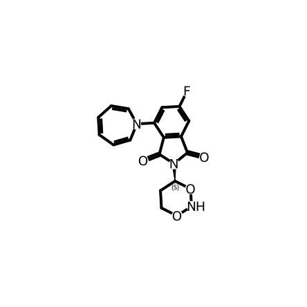 O=C1c2cc(F)cc(N3C=CC=CC=C3)c2C(=O)N1[C@@H]1CCONO1